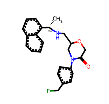 C[C@H](NCC1CN(c2ccc(CF)cc2)C(=O)CO1)c1cccc2ccccc12